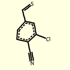 N#Cc1ccc(C=S)cc1Cl